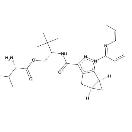 C=C/C(=N\C=C/C)n1nc(C(=O)N[C@H](COC(=O)[C@@H](N)C(C)C)C(C)(C)C)c2c1[C@H]1C[C@H]1C2